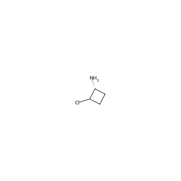 N[C@@H]1CCC1Cl